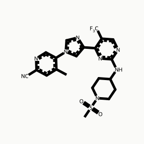 Cc1cc(C#N)ncc1-n1cnc(-c2nc(NC3CCN(S(C)(=O)=O)CC3)ncc2C(F)(F)F)c1